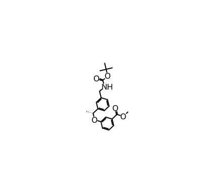 COC(=O)c1cccc(O[C@H](C)c2cccc(CNC(=O)OC(C)(C)C)c2)c1